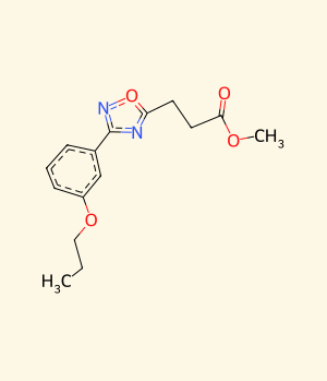 CCCOc1cccc(-c2noc(CCC(=O)OC)n2)c1